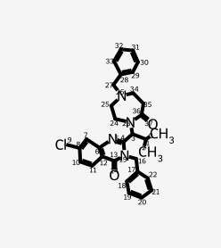 CC(C)C(c1nc2cc(Cl)ccc2c(=O)n1Cc1ccccc1)N1CCN(Cc2ccccc2)CCC1=O